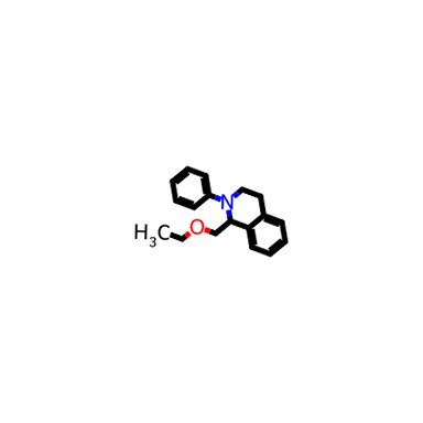 CCOCC1c2ccccc2CCN1c1ccccc1